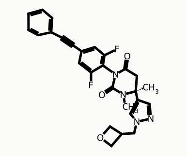 CN1C(=O)N(c2c(F)cc(C#Cc3ccccc3)cc2F)C(=O)C[C@@]1(C)c1cnn(CC2COC2)c1